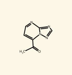 CC(=O)c1ccnc2ncnn12